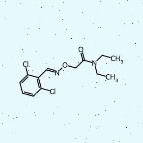 CCN(CC)C(=O)CON=Cc1c(Cl)cccc1Cl